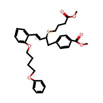 COC(=O)CCCSC(/C=C/c1ccccc1OCCCCOc1ccccc1)Cc1ccc(C(=O)OC)cc1